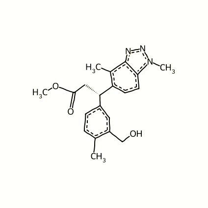 COC(=O)C[C@@H](c1ccc(C)c(CO)c1)c1ccc2c(nnn2C)c1C